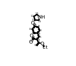 C=C(OCC)c1cc2ccc(OC3CCNC3)cc2oc1=O